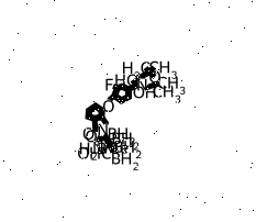 BC(B)(C=O)C(B)(B)C(B)(C(=O)NC)N1Cc2c(OCc3ccc(C(O)(O)N4CC(C)(C)OC(C)(C)C4)cc3F)cccc2C1=O